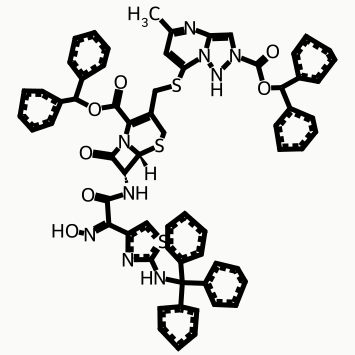 CC1=NC2=CN(C(=O)OC(c3ccccc3)c3ccccc3)NN2C(SCC2=C(C(=O)OC(c3ccccc3)c3ccccc3)N3C(=O)[C@@H](NC(=O)/C(=N\O)c4csc(NC(c5ccccc5)(c5ccccc5)c5ccccc5)n4)[C@H]3SC2)=C1